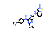 Cc1nc(Nc2ccc(C(F)(F)F)cc2)c2nc(NC3=CC=CN4SNC=C34)sc2n1